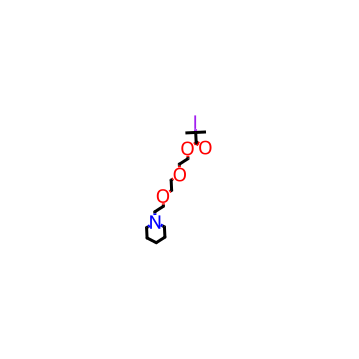 CC(C)(I)C(=O)OCCOCCOCCN1CCCCC1